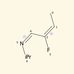 C/C=C(F)\C=N/C(C)C